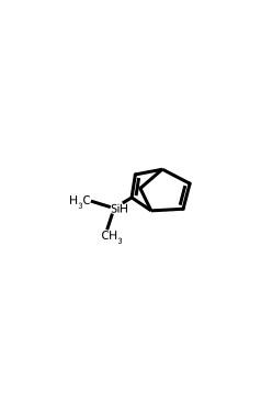 C[SiH](C)C1=CC2C=CC1C2